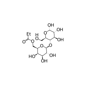 CCC(=O)OC[C@H]1O[C@@H](O[C@H]2[C@H](O)[C@@H](O)[C@@H](O)O[C@@H]2CO)[C@H](O)[C@@H](O)[C@H]1O